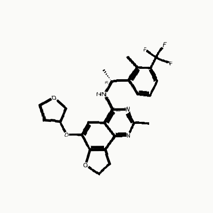 Cc1nc(N[C@H](C)c2cccc(C(F)(F)F)c2C)c2cc(OC3CCOC3)c3c(c2n1)CCO3